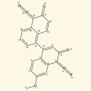 COc1ccc2c(c1)C(=[N+]=[N-])C(=O)C=C2c1cccc2c1[C]=CC(=O)C2=[N+]=[N-]